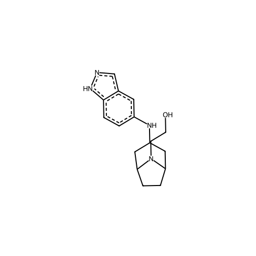 OCCN1C2CCC1CC(Nc1ccc3[nH]ncc3c1)C2